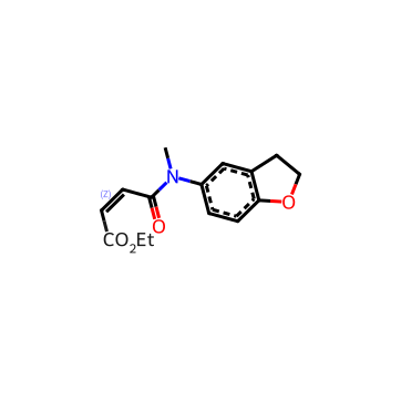 CCOC(=O)/C=C\C(=O)N(C)c1ccc2c(c1)CCO2